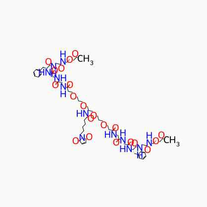 CC(=O)COCNC(=O)CNC(=O)[C@H](Cc1ccccc1)NC(=O)CNC(=O)CNC(=O)CCOCCCOCC(COCCCOCCC(=O)NCC(=O)NCC(=O)N[C@@H](Cc1ccccc1)C(=O)NCC(=O)NCOCC(C)=O)NC(=O)CCCCCN1C(=O)C=CC1=O